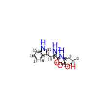 CC(C)C[C@H](NC(=O)[C@H](N)Cc1c[nH]c2ccccc12)C(=O)O